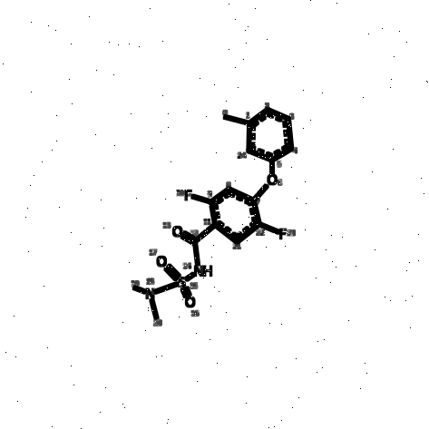 Cc1cccc(Oc2cc(F)c(C(=O)NS(=O)(=O)N(C)C)cc2F)c1